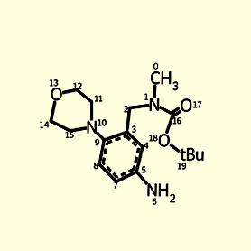 CN(Cc1cc(N)ccc1N1CCOCC1)C(=O)OC(C)(C)C